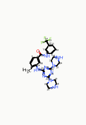 Cc1ccc(C(=O)Nc2cccc(C(F)(F)F)c2)cc1Nc1nc(N2CCNCC2)nc(N2CCNCC2)n1